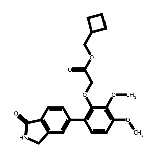 COc1ccc(-c2ccc3c(c2)CNC3=O)c(OCC(=O)OCC2CCC2)c1OC